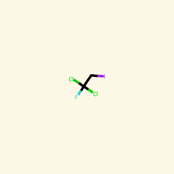 FC(Cl)(Cl)CI